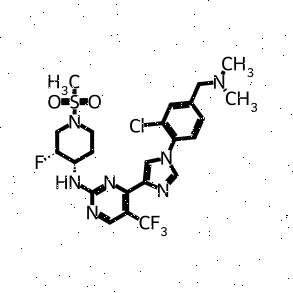 CN(C)Cc1ccc(-n2cnc(-c3nc(N[C@H]4CCN(S(C)(=O)=O)C[C@H]4F)ncc3C(F)(F)F)c2)c(Cl)c1